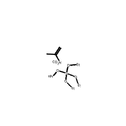 C=C(C)C(=O)O.CCCO[Si](OCC)(OCC)OCC